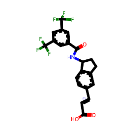 O=C(O)/C=C/c1ccc2c(c1)CCC2NC(=O)c1cc(C(F)(F)F)cc(C(F)(F)F)c1